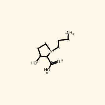 CCCCN1CCC(O)C1C(=O)O